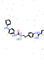 Cl.N=C(Nc1ccc(CCNC(=O)Nc2ccc(Nc3ccccc3)cc2)cc1)c1cccs1